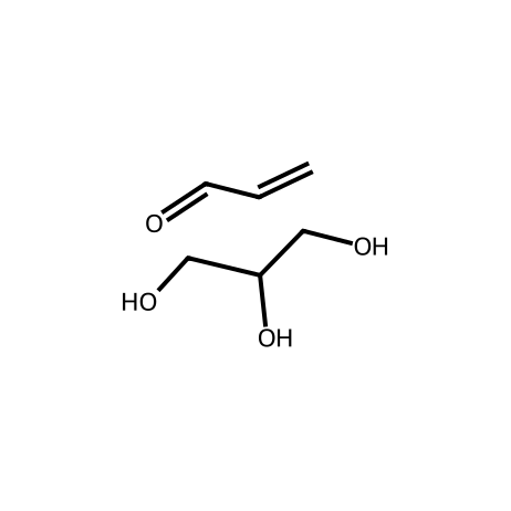 C=CC=O.OCC(O)CO